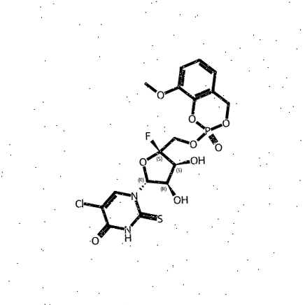 COc1cccc2c1OP(=O)(OC[C@@]1(F)O[C@@H](n3cc(Cl)c(=O)[nH]c3=S)[C@H](O)[C@@H]1O)OC2